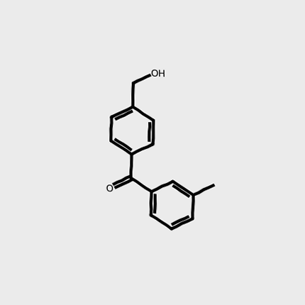 Cc1cccc(C(=O)c2ccc(CO)cc2)c1